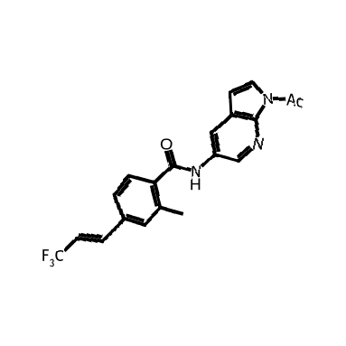 CC(=O)n1ccc2cc(NC(=O)c3ccc(C=CC(F)(F)F)cc3C)cnc21